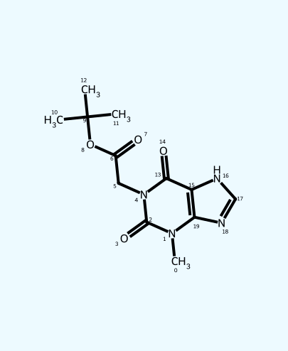 Cn1c(=O)n(CC(=O)OC(C)(C)C)c(=O)c2[nH]cnc21